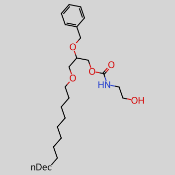 CCCCCCCCCCCCCCCCCCOCC(COC(=O)NCCO)OCc1ccccc1